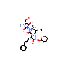 CC(C)C[C@@H](C(=O)NN1C(=O)N[C@@H](CO)C1=O)[C@H](C/C=C/c1ccccc1)C(=O)NOC1CCCCO1